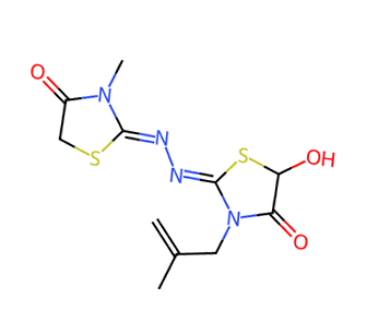 C=C(C)CN1C(=O)C(O)SC1=NN=C1SCC(=O)N1C